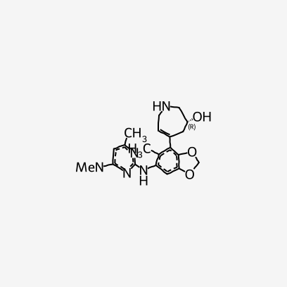 CNc1cc(C)nc(Nc2cc3c(c(C4=CCNC[C@H](O)C4)c2C)OCO3)n1